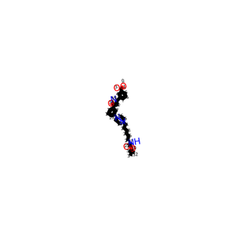 COC(=O)c1cccc(-c2cc(-c3cccc(N4CCN(CCCCCCNC(=O)OC(C)(C)C)CC4)c3)on2)c1